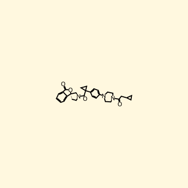 O=C1O[C@]2(CCN(C(=O)C3(c4ccc(N5CCN(C(=O)CC6CC6)CC5)cc4)CC3)C2)c2ccccc21